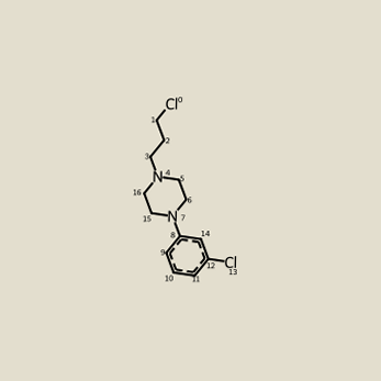 ClCCCN1CCN(c2cccc(Cl)c2)CC1